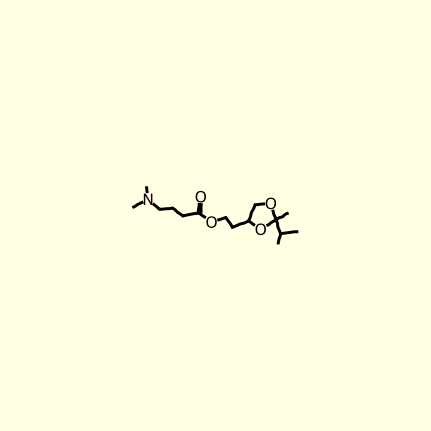 CC(C)C1(C)OCC(CCOC(=O)CCCN(C)C)O1